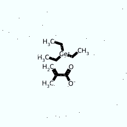 C=C(C)C(=O)[O-].C[CH2][Ge+]([CH2]C)[CH2]C